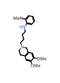 CNc1ccccc1NCCCCN1CCc2cc(OC)c(OC)cc2C1